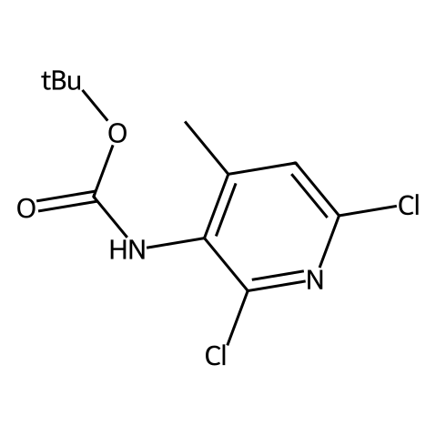 Cc1cc(Cl)nc(Cl)c1NC(=O)OC(C)(C)C